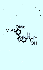 COc1ccc(-c2cnc3ccc(NC(CO)C(C)C)nn23)cc1OC